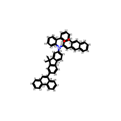 CC1(C)c2cc(-c3cc4ccccc4c4ccccc34)ccc2-c2ccc(N(c3ccc4cc5ccccc5cc4c3)c3ccccc3-c3ccccc3)cc21